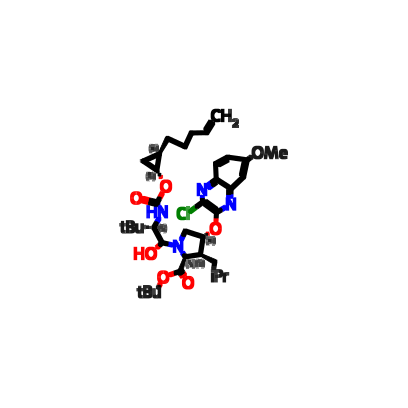 C=CCCC[C@@H]1C[C@H]1OC(=O)N[C@H](C(O)N1C[C@H](Oc2nc3cc(OC)ccc3nc2Cl)[C@@H](CC(C)C)[C@H]1C(=O)OC(C)(C)C)C(C)(C)C